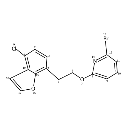 Clc1ccc(CCOc2cccc(Br)n2)c2occc12